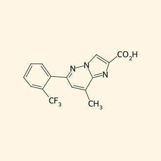 Cc1cc(-c2ccccc2C(F)(F)F)nn2cc(C(=O)O)nc12